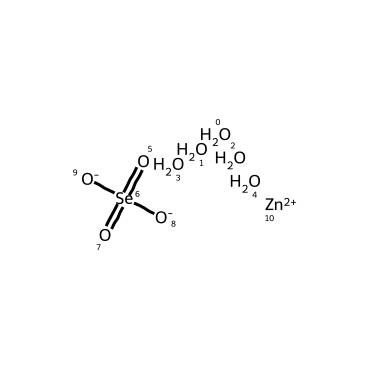 O.O.O.O.O.O=[Se](=O)([O-])[O-].[Zn+2]